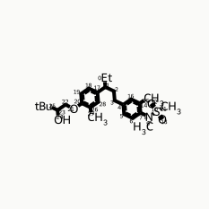 CCC(CCc1ccc(N(C)S(C)(=O)=O)c(C)c1)c1ccc(OCC(O)C(C)(C)C)c(C)c1